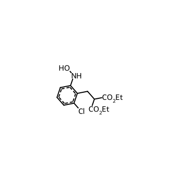 CCOC(=O)C(Cc1c(Cl)cccc1NO)C(=O)OCC